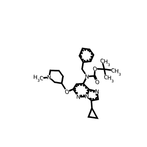 CN1CCCC(Oc2cc(N(Cc3ccccc3)C(=O)OC(C)(C)C)c3ncc(C4CC4)n3n2)C1